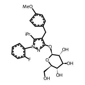 COc1ccc(Cc2c(O[C@@H]3O[C@H](CO)[C@@H](O)[C@H](O)[C@H]3O)nn(-c3ccccc3F)c2C(C)C)cc1